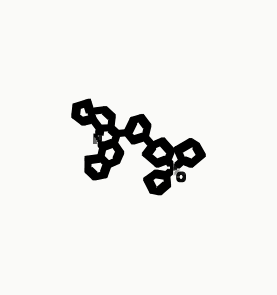 O=P(c1ccccc1)(c1ccccc1)c1ccc(-c2cccc(-c3c4ccc5ccccc5c4nc4c3ccc3ccccc34)c2)cc1